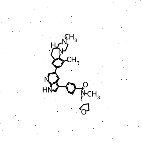 Cc1cc(-c2cnc3[nH]cc(-c4ccc(C(=O)N(C)C[C@@H]5CCOC5)cc4)c3c2)cc2c1N1CCN(C)C[C@H]1CC2